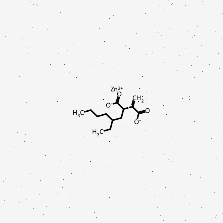 C=C(C(=O)[O-])C(CC(CC)CCCC)C(=O)[O-].[Zn+2]